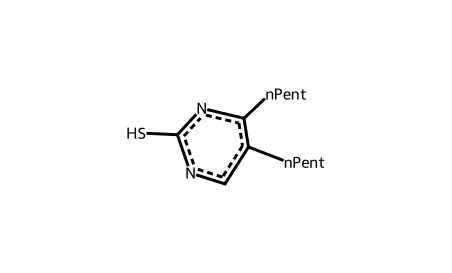 CCCCCc1cnc(S)nc1CCCCC